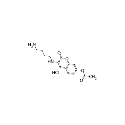 CC(=O)Oc1ccc2cc(NCCCCN)c(=O)oc2c1.Cl